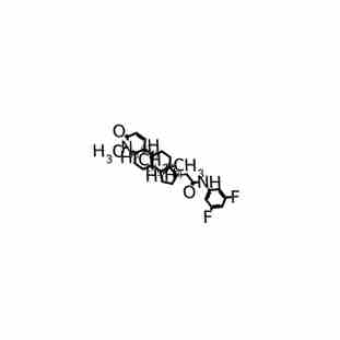 CN1C(=O)C=C[C@]2(C)[C@H]3CC[C@]4(C)[C@@H](CC(=O)Nc5cc(F)cc(F)c5)CC[C@H]4[C@@H]3CC[C@@H]12